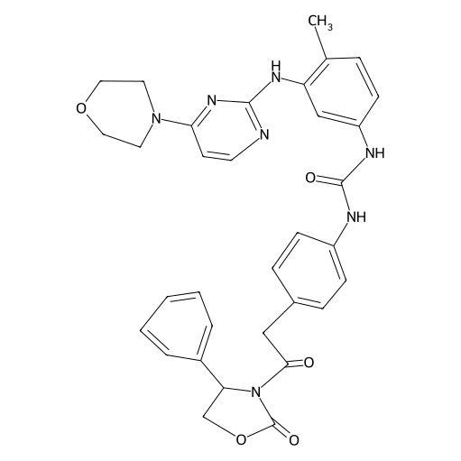 Cc1ccc(NC(=O)Nc2ccc(CC(=O)N3C(=O)OCC3c3ccccc3)cc2)cc1Nc1nccc(N2CCOCC2)n1